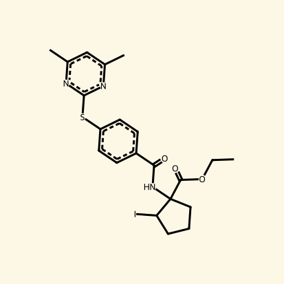 CCOC(=O)C1(NC(=O)c2ccc(Sc3nc(C)cc(C)n3)cc2)CCCC1I